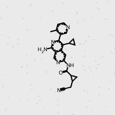 Cc1ccncc1-c1nc(N)c2cnc(NC(=O)C3CC3CC#N)cc2c1C1CC1